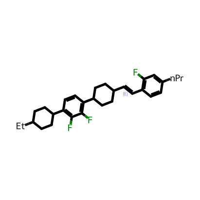 CCCc1ccc(/C=C/C2CCC(c3ccc(C4CCC(CC)CC4)c(F)c3F)CC2)c(F)c1